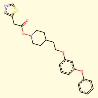 O=C(Cc1cncs1)ON1CCC(CCOc2cccc(Oc3ccccc3)c2)CC1